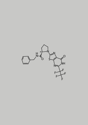 O=C(NCc1ccccc1)[C@H]1CCCN1c1nc2c(=O)[nH]c(C(F)(F)C(F)(F)F)nc2s1